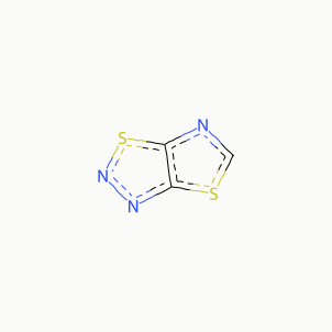 c1nc2snnc2s1